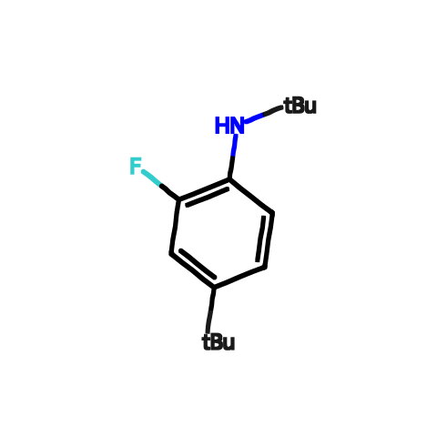 CC(C)(C)Nc1ccc(C(C)(C)C)cc1F